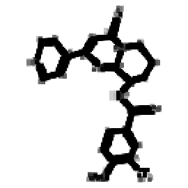 COc1ccc(C(=O)NC2CCCn3c2nc(-c2ccncc2)cc3=O)cc1C(F)(F)F